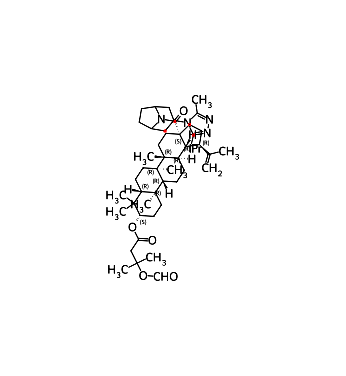 C=C(C)[C@@H]1CC[C@]2(C(=O)N3C4CCC3CC(n3c(C)nnc3C(C)C)C4)CC[C@]3(C)[C@H](CC[C@@H]4[C@@]5(C)CC[C@H](OC(=O)CC(C)(C)OC=O)C(C)(C)[C@@H]5CC[C@]43C)[C@@H]12